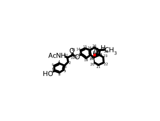 CC(=O)NC(Cc1ccc(O)cc1)C(=O)Oc1ccc2c(c1)[C@@]13CCCC[C@H]1[C@@H](C2)N(C)CC3